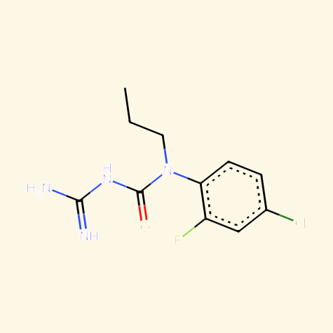 CCCN(C(=O)NC(=N)N)c1ccc(Cl)cc1F